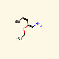 CCC(C)/C=C\C(=C/N)OCC(C)(C)C